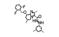 Cc1cc(C)cc(NNC(=O)c2c(C)nc3c(OCc4c(F)cccc4F)cc(C)cn23)c1